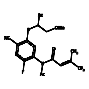 COCC(Sc1cc(N(C(C)=O)C(=O)/C=C(\C)C(F)(F)F)c(F)cc1C#N)C(C)=O